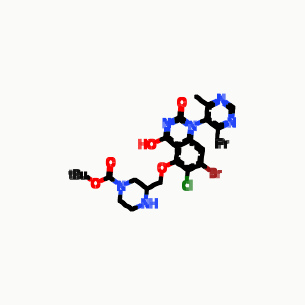 Cc1ncnc(C(C)C)c1-n1c(=O)nc(O)c2c(OCC3CN(C(=O)OC(C)(C)C)CCN3)c(Cl)c(Br)cc21